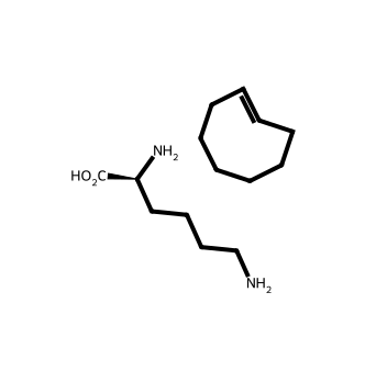 C1=C/CCCCCC/1.NCCCC[C@H](N)C(=O)O